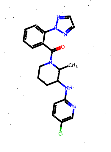 CC1C(Nc2ccc(Cl)cn2)CCCN1C(=O)c1ccccc1-n1nccn1